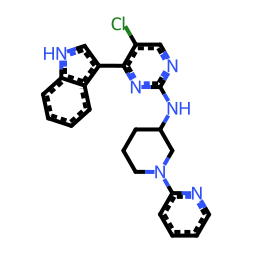 Clc1cnc(NC2CCCN(c3ccccn3)C2)nc1-c1c[nH]c2ccccc12